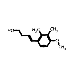 COc1ccc(C=CCCO)c(C)c1C